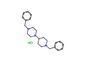 Cl.c1ccc(CN2CCC(N3CCN(Cc4ccccc4)CC3)CC2)cc1